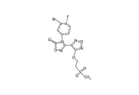 CS(=O)(=O)CCOc1nonc1-c1noc(=O)n1-c1ccc(F)c(Br)c1